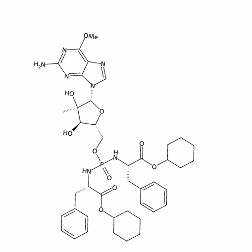 COc1nc(N)nc2c1ncn2[C@@H]1O[C@H](COP(=O)(N[C@@H](Cc2ccccc2)C(=O)OC2CCCCC2)N[C@@H](Cc2ccccc2)C(=O)OC2CCCCC2)[C@@H](O)[C@@]1(C)O